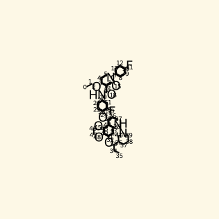 CCOc1ccn(-c2ccc(F)cc2)c(=O)c1C(=O)Nc1ccc(Oc2ccnc3cc(OC(CC)C4CCCNC4)c4c(c23)OCCO4)c(F)c1